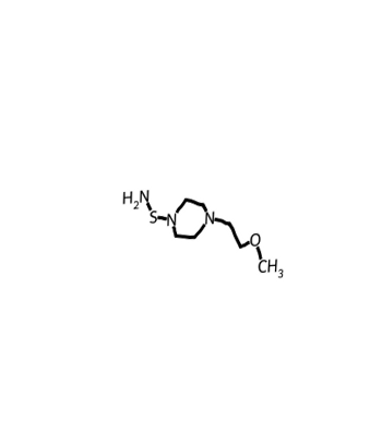 COCCN1CCN(SN)CC1